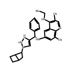 CC(C)(C)CNc1c(C#N)cnc2c(C#N)cc(N[C@H](C3=CN(C4CC5CCC54)NN3)c3ccccc3)cc12